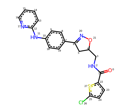 O=C(NCC1CC(c2ccc(Nc3ccccn3)cc2)=NO1)c1ccc(Cl)s1